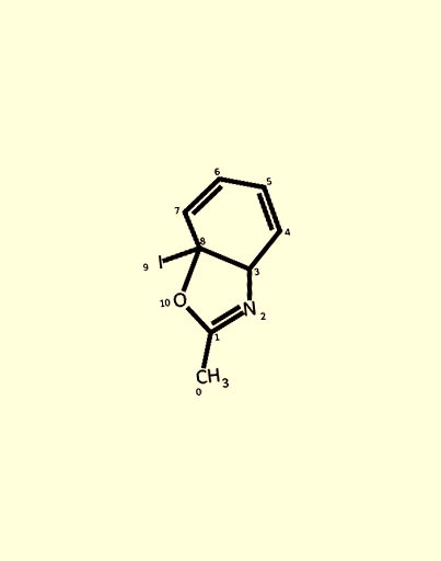 CC1=NC2C=CC=CC2(I)O1